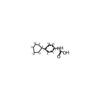 O=C(O)Nc1ccc(C2CCCCC2)cc1